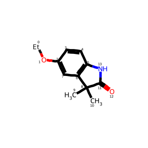 CCOc1ccc2c(c1)C(C)(C)C(=O)N2